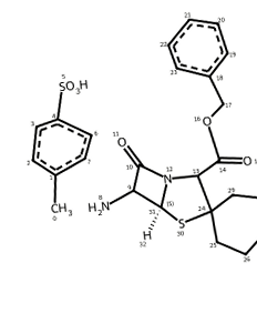 Cc1ccc(S(=O)(=O)O)cc1.NC1C(=O)N2C(C(=O)OCc3ccccc3)C3(CCCCC3)S[C@@H]12